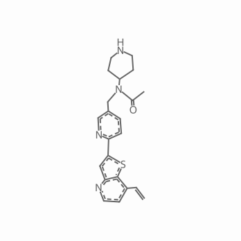 C=Cc1ccnc2cc(-c3ccc(CN(C(C)=O)C4CCNCC4)cn3)sc12